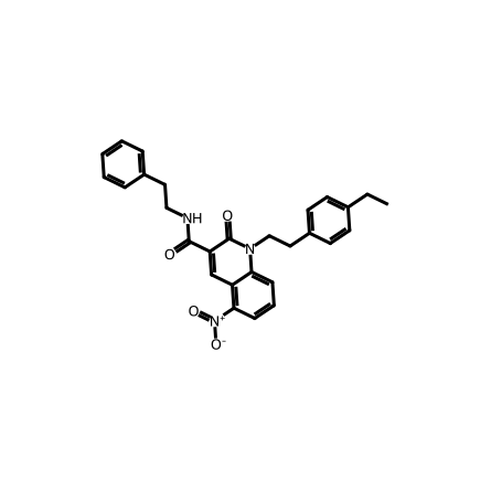 CCc1ccc(CCn2c(=O)c(C(=O)NCCc3ccccc3)cc3c([N+](=O)[O-])cccc32)cc1